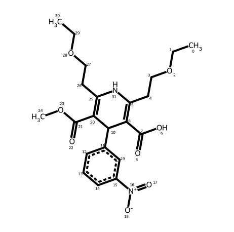 CCOCCC1=C(C(=O)O)C(c2cccc([N+](=O)[O-])c2)C(C(=O)OC)=C(CCOCC)N1